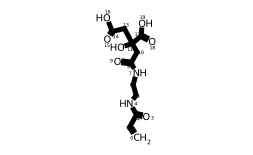 C=CC(=O)NCCNC(=O)CC(O)(CC(=O)O)C(=O)O